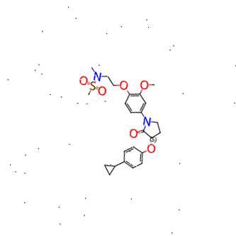 COc1cc(N2CC[C@H](Oc3ccc(C4CC4)cc3)C2=O)ccc1OCCN(C)S(C)(=O)=O